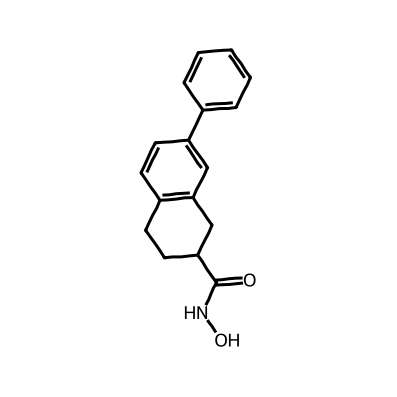 O=C(NO)C1CCc2ccc(-c3ccccc3)cc2C1